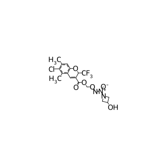 Cc1cc2c(c(C)c1Cl)C=C(C(=O)OCON=[N+]([O-])N1CC(O)C1)C(C(F)(F)F)O2